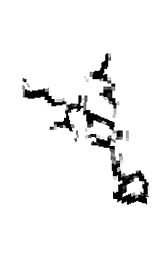 CC(=O)SCC[C@H](NC(=O)OCc1ccccc1)C(=O)N[C@@H](CCCC=O)C(=O)O